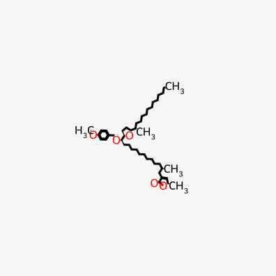 CCCCCCCCCCCCC(C)C1CC[C@H]([C@@H](CCCCCCCCCC[C@H](C)CC2=C[C@H](C)OC2=O)OCc2ccc(OC)cc2)O1